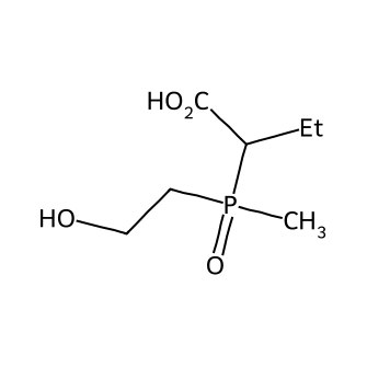 CCC(C(=O)O)P(C)(=O)CCO